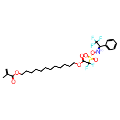 C=C(C)C(=O)OCCCCCCCCCCCCOC(=O)C(F)(F)S(=O)(=O)O/N=C(/c1ccccc1)C(F)(F)F